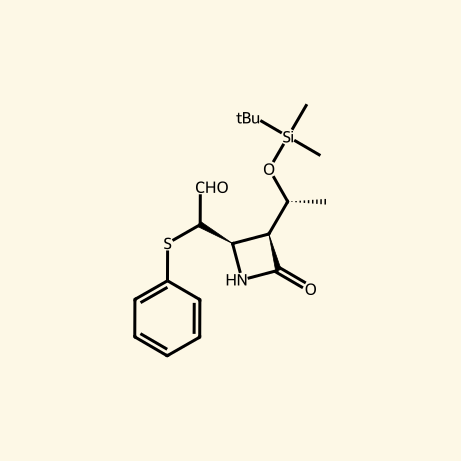 C[C@@H](O[Si](C)(C)C(C)(C)C)[C@H]1C(=O)N[C@H]1C(C=O)Sc1ccccc1